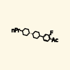 CCC[C@H]1CC[C@H](C2CCC(c3ccc(C(C)=O)c(F)c3)CC2)CC1